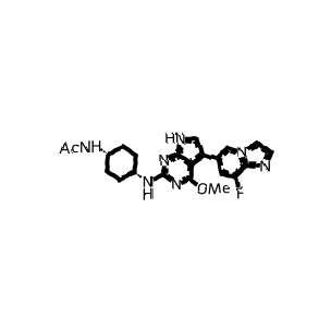 COc1nc(N[C@H]2CC[C@@H](NC(C)=O)CC2)nc2[nH]cc(-c3cc(F)c4nccn4c3)c12